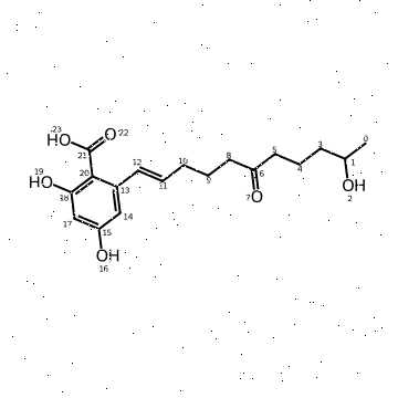 CC(O)CCCC(=O)CCC/C=C/c1cc(O)cc(O)c1C(=O)O